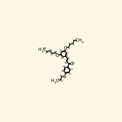 CCCCCOc1cc(C=CC(=O)c2ccc(SCCC)cc2)cc(OCCCCC)c1